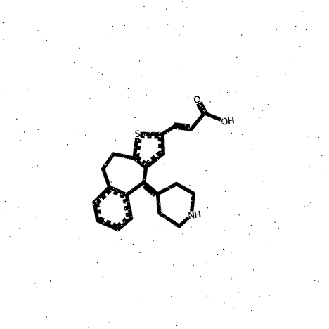 O=C(O)C=Cc1cc2c(s1)CCc1ccccc1C2=C1CCNCC1